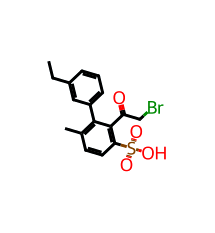 CCc1cccc(-c2c(C)ccc(S(=O)(=O)O)c2C(=O)CBr)c1